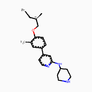 CC(C)C[C@@H](C)COc1ccc(-c2ccnc(NC3CCNCC3)c2)cc1C(F)(F)F